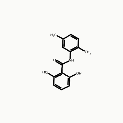 Cc1ccc(C)c(NC(=O)c2c(O)cccc2O)c1